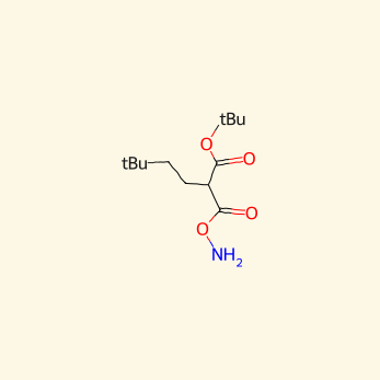 CC(C)(C)CCC(C(=O)ON)C(=O)OC(C)(C)C